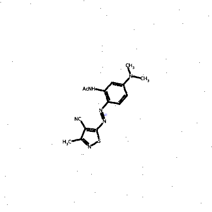 CC(=O)Nc1cc(N(C)C)ccc1/N=N/c1snc(C)c1C#N